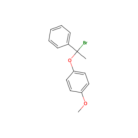 COc1ccc(OC(C)(Br)c2ccccc2)cc1